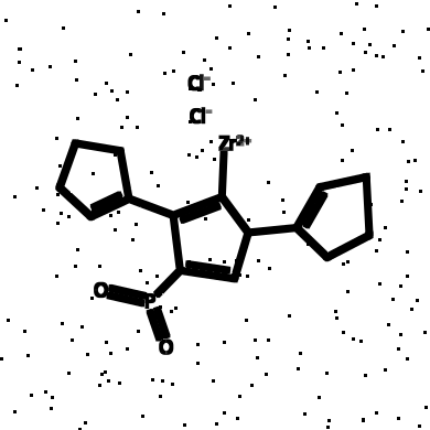 O=P(=O)C1=CC(C2=CCCC2)[C]([Zr+2])=C1C1=CCCC1.[Cl-].[Cl-]